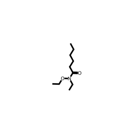 CCCCCC(=O)N(CC)OCC